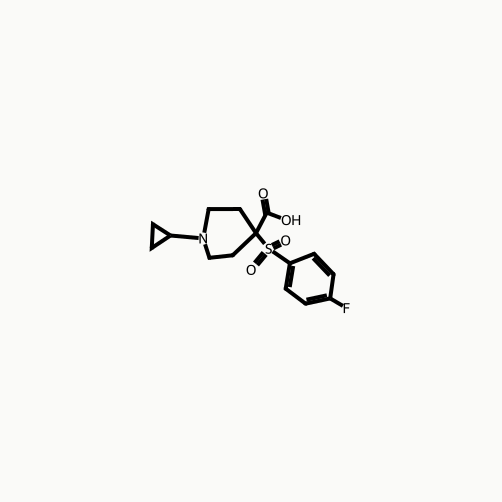 O=C(O)C1(S(=O)(=O)c2ccc(F)cc2)CCN(C2CC2)CC1